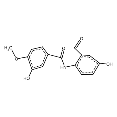 COc1ccc(C(=O)Nc2ccc(O)cc2C=O)cc1O